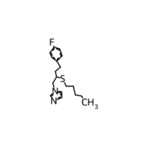 CCCCCSC(CCc1ccc(F)cc1)Cn1ccnc1